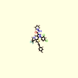 Cc1ccc(C#Cc2ccc(-c3c(CN4CC5C(C4)C5(F)F)c(C(=O)NN4CCCCC4)nn3-c3ccc(Cl)cc3Cl)s2)cc1